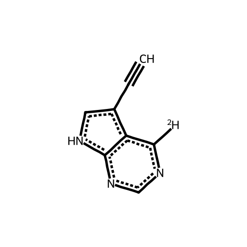 [2H]c1ncnc2[nH]cc(C#C)c12